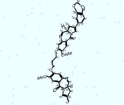 COc1cc2c(cc1OCCCOc1cc3c(cc1OC)C(=O)N1C=C(c4ccc5c(c4)OCO5)C[C@H]1C=N3)N=C[C@@H]1CC(C)=CN1C2=O